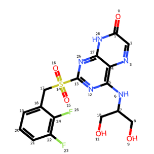 O=c1cnc2c(NC(CO)CO)nc(S(=O)(=O)Cc3cccc(F)c3F)nc2[nH]1